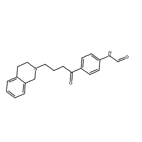 O=CNc1ccc(C(=O)CCCN2CCc3ccccc3C2)cc1